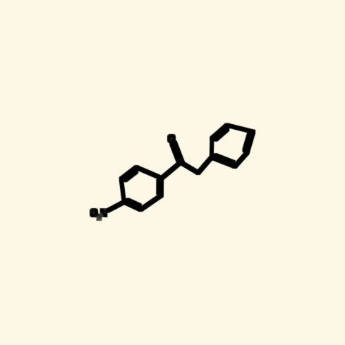 O=C(Cc1ccccc1)c1ccc([N+](=O)[O-])cc1